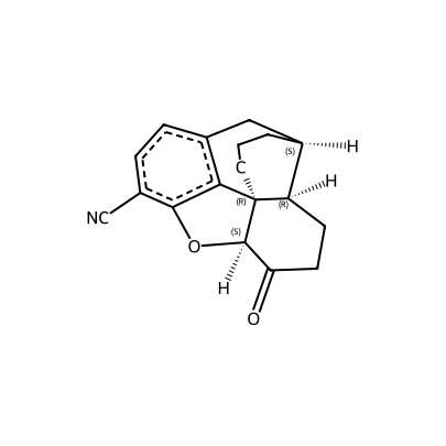 N#Cc1ccc2c3c1O[C@@H]1C(=O)CC[C@@H]4[C@@H](CCC[C@@]314)C2